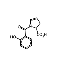 O=C(O)[C@@H]1CC=CN1C(=O)c1ccccc1O